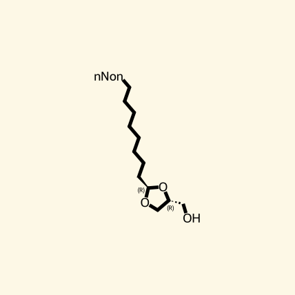 CCCCCCCCCCCCCCCCC[C@@H]1OC[C@@H](CO)O1